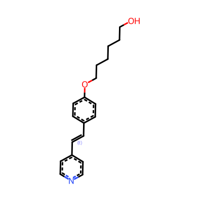 OCCCCCCOc1ccc(/C=C/c2ccncc2)cc1